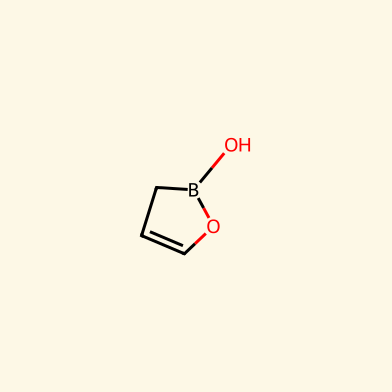 OB1CC=CO1